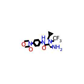 NC[C@@H](C(=O)Nc1ccc(N2CCOCC2=O)cc1)N(CC1CC1)CC(F)(F)F